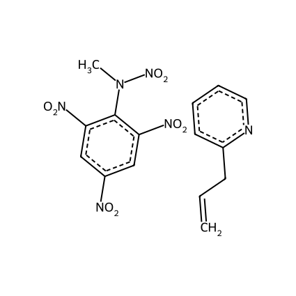 C=CCc1ccccn1.CN(c1c([N+](=O)[O-])cc([N+](=O)[O-])cc1[N+](=O)[O-])[N+](=O)[O-]